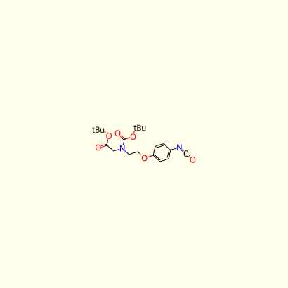 CC(C)(C)OC(=O)CN(CCOc1ccc(N=C=O)cc1)C(=O)OC(C)(C)C